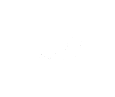 CCOC[CH]C1CCCCC1